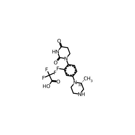 C[C@@H]1CNCCN1c1ccc(N2CCC(=O)NC2=O)c(F)c1.O=C(O)C(F)(F)F